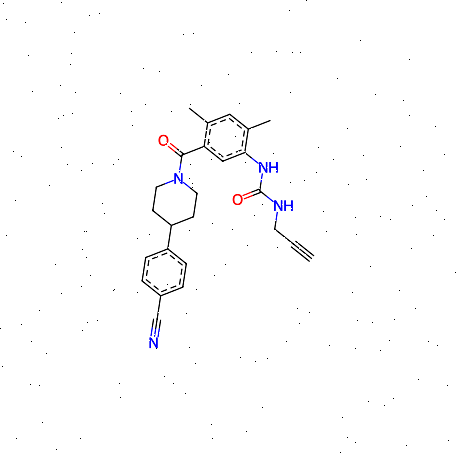 C#CCNC(=O)Nc1cc(C(=O)N2CCC(c3ccc(C#N)cc3)CC2)c(C)cc1C